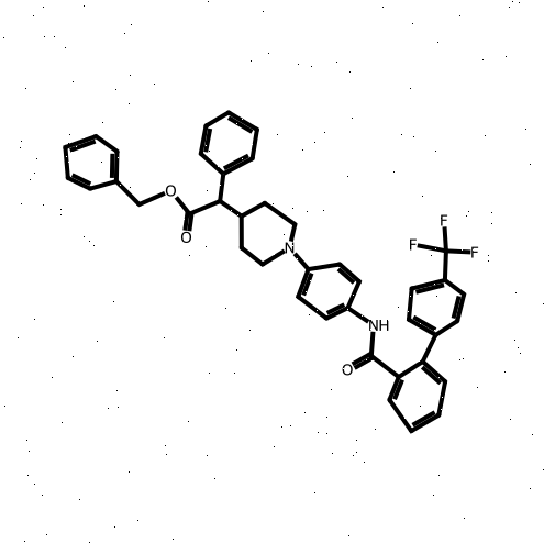 O=C(Nc1ccc(N2CCC(C(C(=O)OCc3ccccc3)c3ccccc3)CC2)cc1)c1ccccc1-c1ccc(C(F)(F)F)cc1